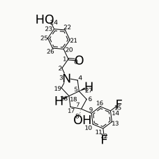 O=C(CN1C[C@@H]2C[C@@](O)(c3cc(F)cc(F)c3)C[C@@H]2C1)c1ccc(O)cc1